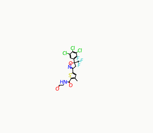 Cc1cc(C2=NOC(c3cc(Cl)c(Cl)c(Cl)c3)(C(F)(F)F)C2)sc1C(=O)NCC=O